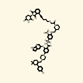 CC1(C)CCC(CN2CCN(c3ccc(C(=O)NS(=O)(=O)c4ccc(NCC5CCCN(C(=O)COCCCC#Cc6cccc7c6C(=O)N(C6CCC(=O)NC6=O)C7=O)C5)c([N+](=O)[O-])c4)c(Oc4cnc5[nH]ccc5c4)c3)CC2)=C(c2ccc(Cl)cc2)C1